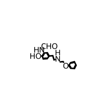 O=CNc1cc(CCNCCOc2ccccc2)ccc1O